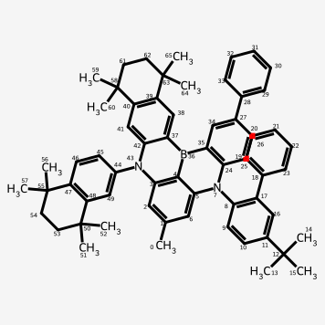 Cc1cc2c3c(c1)N(c1ccc(C(C)(C)C)cc1-c1ccccc1)c1ccc(-c4ccccc4)cc1B3c1cc3c(cc1N2c1ccc2c(c1)C(C)(C)CCC2(C)C)C(C)(C)CCC3(C)C